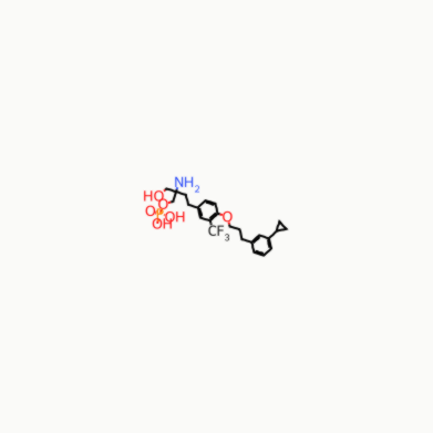 NC(CO)(CCc1ccc(OCCCc2cccc(C3CC3)c2)c(C(F)(F)F)c1)COP(=O)(O)O